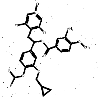 COc1ccc(C(=O)OC(Cc2c(Cl)c[n+]([O-])cc2Cl)c2ccc(OC(F)F)c(OCC3CC3)c2)cc1N